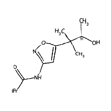 CC(C)C(=O)Nc1cc(C(C)(C)[C@H](C)O)on1